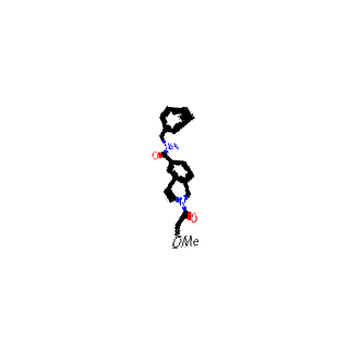 COCC(=O)N1CCc2cc(C(=O)NCc3ccccc3)ccc2C1